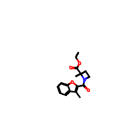 CCOC(=O)C1(C)CCN1C(=O)c1oc2ccccc2c1C